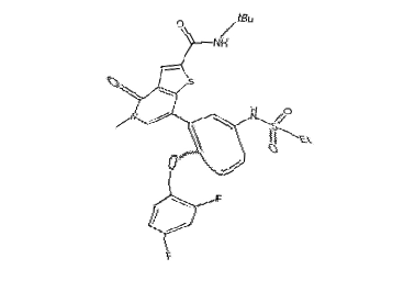 CCS(=O)(=O)Nc1ccc(Oc2ccc(F)cc2F)c(-c2cn(C)c(=O)c3cc(C(=O)NC(C)(C)C)sc23)c1